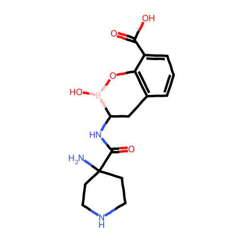 NC1(C(=O)NC2Cc3cccc(C(=O)O)c3OB2O)CCNCC1